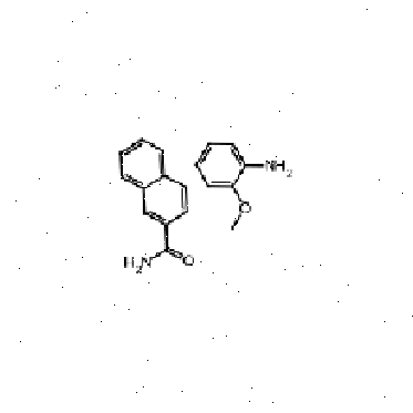 COc1ccccc1N.NC(=O)c1ccc2ccccc2c1